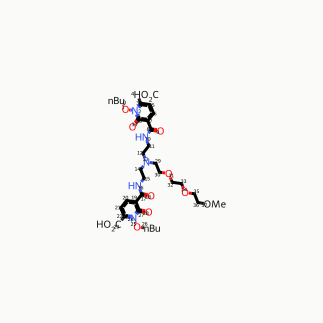 CCCCOn1c(C(=O)O)ccc(C(=O)NCCN(CCNC(=O)c2ccc(C(=O)O)n(OCCCC)c2=O)CCOCCOCCOC)c1=O